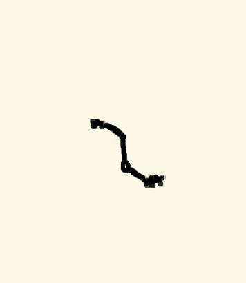 C[CH]COCC(C)C